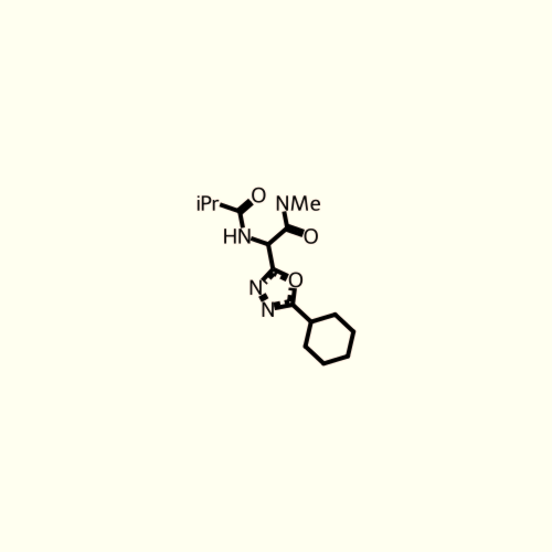 CNC(=O)C(NC(=O)C(C)C)c1nnc(C2CCCCC2)o1